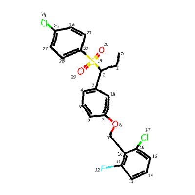 CCC(c1cccc(OCc2c(F)cccc2Cl)c1)S(=O)(=O)c1ccc(Cl)cc1